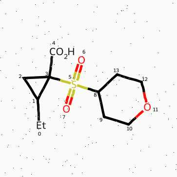 CCC1CC1(C(=O)O)S(=O)(=O)C1CCOCC1